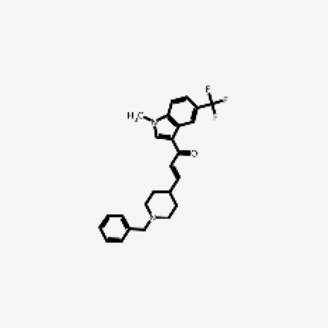 Cn1cc(C(=O)C=CC2CCN(Cc3ccccc3)CC2)c2cc(C(F)(F)F)ccc21